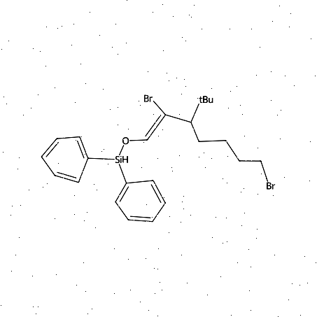 CC(C)(C)C(CCCCBr)C(Br)=CO[SiH](c1ccccc1)c1ccccc1